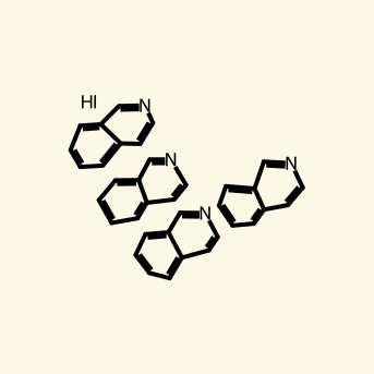 I.c1ccc2cnccc2c1.c1ccc2cnccc2c1.c1ccc2cnccc2c1.c1ccc2cnccc2c1